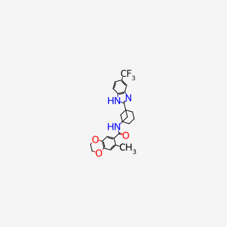 Cc1cc2c(cc1C(=O)NC13CCCC(c4nc5cc(C(F)(F)F)ccc5[nH]4)(C1)C3)OCCO2